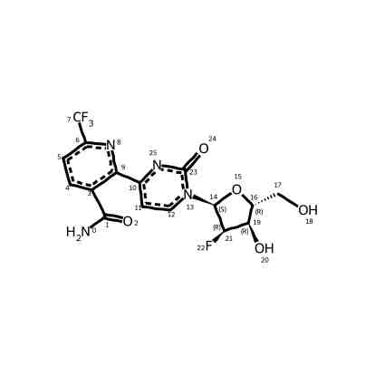 NC(=O)c1ccc(C(F)(F)F)nc1-c1ccn([C@H]2O[C@H](CO)[C@@H](O)[C@H]2F)c(=O)n1